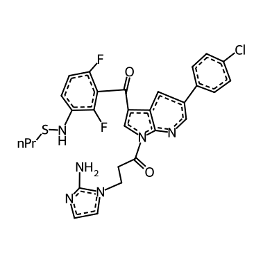 CCCSNc1ccc(F)c(C(=O)c2cn(C(=O)CCn3ccnc3N)c3ncc(-c4ccc(Cl)cc4)cc23)c1F